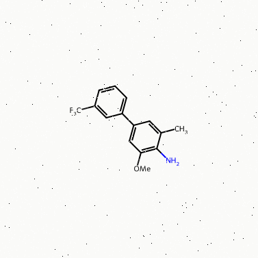 COc1cc(-c2cccc(C(F)(F)F)c2)cc(C)c1N